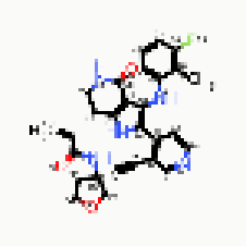 C=CC(=O)N[C@]1(C#Cc2cnccc2-c2[nH]c3c(c2Nc2cccc(F)c2C)C(=O)NCC3)CCOC1